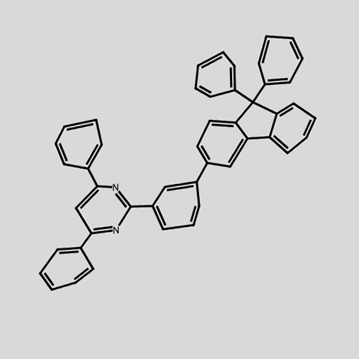 c1ccc(-c2cc(-c3ccccc3)nc(-c3cccc(-c4ccc5c(c4)-c4ccccc4C5(c4ccccc4)c4ccccc4)c3)n2)cc1